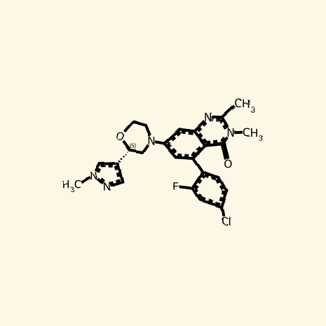 Cc1nc2cc(N3CCO[C@@H](c4cnn(C)c4)C3)cc(-c3ccc(Cl)cc3F)c2c(=O)n1C